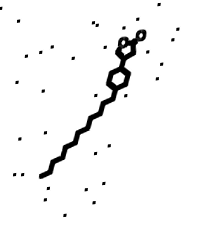 CCCCCCCCCCCCC1CCC(C2COC(=O)C2)CC1